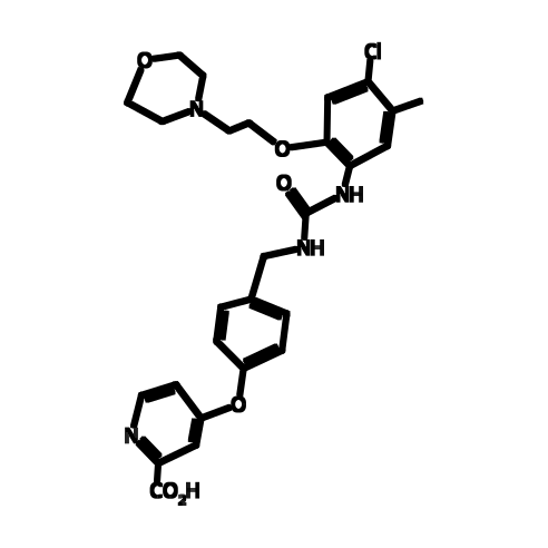 Cc1cc(NC(=O)NCc2ccc(Oc3ccnc(C(=O)O)c3)cc2)c(OCCN2CCOCC2)cc1Cl